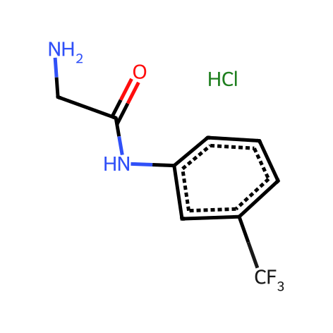 Cl.NCC(=O)Nc1cccc(C(F)(F)F)c1